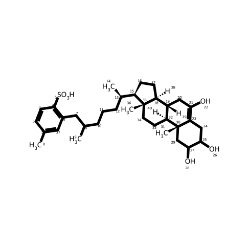 Cc1ccc(S(=O)(=O)O)c(CC(C)CCC[C@@H](C)[C@H]2CC[C@H]3[C@@H]4CC(O)=C5CC(O)C(O)C[C@]5(C)[C@H]4CC[C@]23C)c1